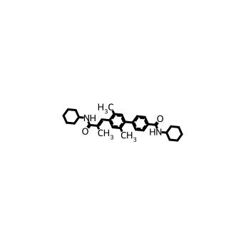 C/C(=C\c1cc(C)c(-c2ccc(C(=O)NC3CCCCC3)cc2)cc1C)C(=O)NC1CCCCC1